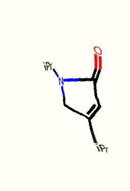 CC(C)C1=CC(=O)N(C(C)C)C1